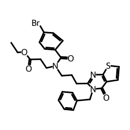 CCOC(=O)CCN(CCCc1nc2sccc2c(=O)n1Cc1ccccc1)C(=O)c1ccc(Br)cc1